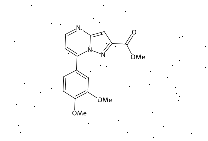 COC(=O)c1cc2nccc(-c3ccc(OC)c(OC)c3)n2n1